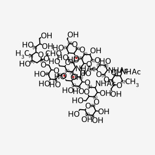 CC(=O)NC1C(O)[C@H](O[C@@H]2OC(CO)[C@H](O)[C@H](O)C2O)C(CO)O[C@H]1OC1[C@@H](OCC2O[C@@H](O[C@@H]3C(CO)O[C@@H](O[C@@H]4C(CO)O[C@@H](C)C(NC(C)=O)[C@H]4O)C(NC(C)=O)[C@H]3O)C(O)[C@@H](O[C@H]3O[C@H](CO)[C@@H](O)C(O)C3O[C@@H]3OC(CO)[C@@H](O[C@@H]4OC(CO[C@]5(OC=O)C[C@@H](O)[C@@H](C)C([C@H](O)C(O)CO)O5)[C@H](O)C(O)[C@@H]4O)[C@H](O)C3NC(C)=O)[C@@H]2O)OC(CO)[C@@H](O)[C@@H]1O